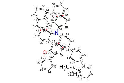 CC1(C)c2ccccc2-c2ccc(-c3ccc(N(c4ccccc4-c4cccc5c4oc4ccccc45)c4ccccc4-c4cccc5cccc(-c6ccccc6)c45)cc3)cc21